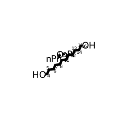 CCCOCCC.OCCCCCCCCCCCCO